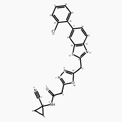 N#CC1(NC(=O)Cc2nnc(Cc3nc4ccc(-c5ccccc5Cl)cc4s3)o2)CC1